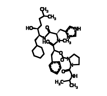 CC(C)CC[C@H](O)[C@H](CC1CCCCC1)NC(=O)[C@H](Cc1c[nH]cn1)N(C)C(=O)[C@H](Cc1ccccc1)OC(=O)N1CCCN1C(=O)NC(C)C